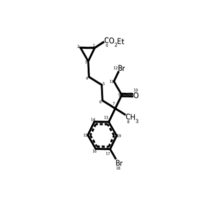 CCOC(=O)C1CC1CCCC(C)(C(=O)CBr)c1cccc(Br)c1